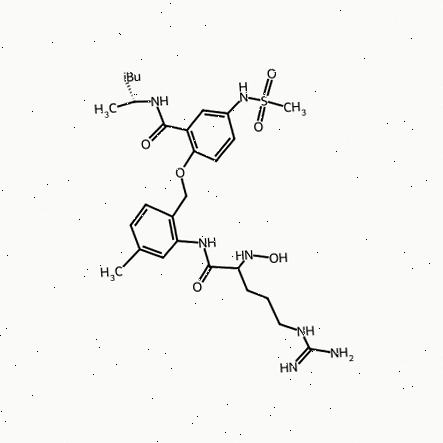 CCC(C)[C@@H](C)NC(=O)c1cc(NS(C)(=O)=O)ccc1OCc1ccc(C)cc1NC(=O)C(CCCNC(=N)N)NO